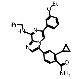 CCOc1cccc(-c2cn3c(-c4ccc(C(N)=O)c(C5CC5)c4)cnc3c(NCC(C)C)n2)c1